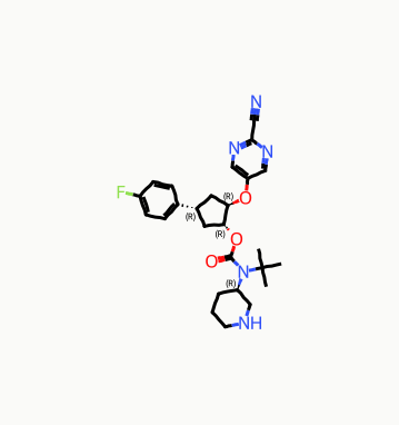 CC(C)(C)N(C(=O)O[C@@H]1C[C@H](c2ccc(F)cc2)C[C@H]1Oc1cnc(C#N)nc1)[C@@H]1CCCNC1